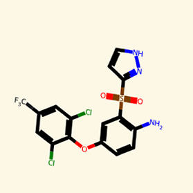 Nc1ccc(Oc2c(Cl)cc(C(F)(F)F)cc2Cl)cc1S(=O)(=O)c1cc[nH]n1